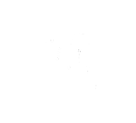 CCCOC(=O)N1CCC[C@H]1C(=O)OC